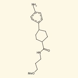 COCCCNC(=O)C1CCC(c2ccc(N)cc2)CC1